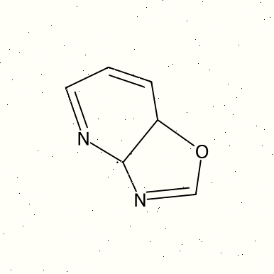 C1=CC2OC=N[C]2N=C1